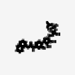 CC(C)OP(=O)(O)OP(=O)(O)OC[C@H]1O[C@@H](n2ccc(NC(=O)Cc3cccc4ccccc34)nc2=O)[C@@H](O)C1O